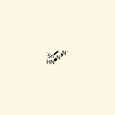 [CH3][Sn].[N-]=[N+]=N